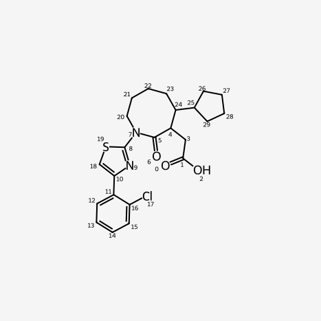 O=C(O)CC1C(=O)N(c2nc(-c3ccccc3Cl)cs2)CCCCC1C1CCCC1